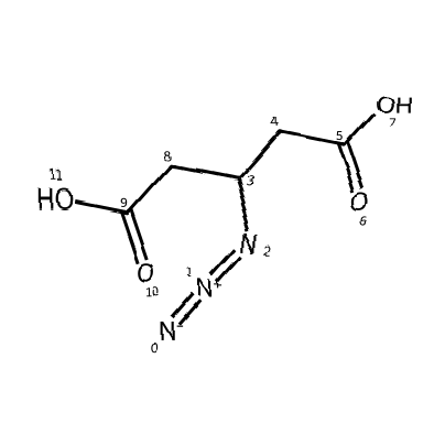 [N-]=[N+]=NC(CC(=O)O)CC(=O)O